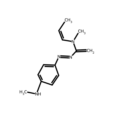 C=C(N=Nc1ccc(NC)cc1)N(C)/C=C\C